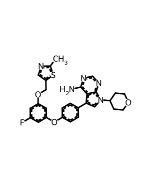 Cc1ncc(COc2cc(F)cc(Oc3ccc(-c4cn(C5CCOCC5)c5ncnc(N)c45)cc3)c2)s1